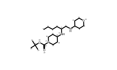 CCCCC(CNC1CCOCC1)NC1CCN(C(=O)OC(C)(C)C)CC1